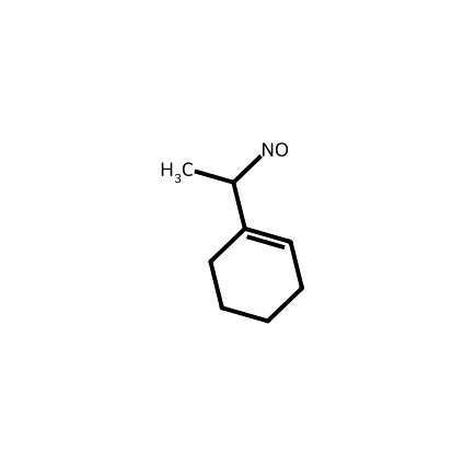 CC(N=O)C1=CCCCC1